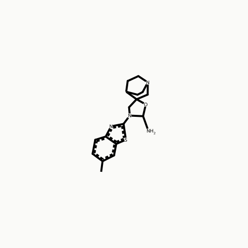 Cc1ccc2nc(N3CC4(CN5CCC4CC5)OC3N)sc2c1